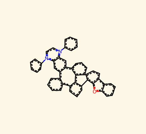 c1ccc(-n2ccn(-c3ccccc3)c3cc4c(cc32)c2ccccc2c2cccc(-c3cccc5c3oc3ccccc35)c2c2ccccc42)cc1